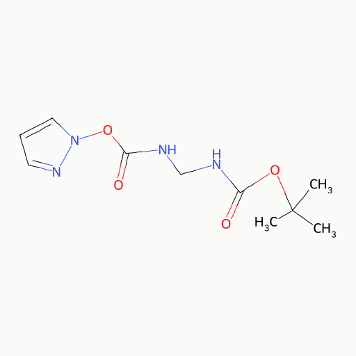 CC(C)(C)OC(=O)NCNC(=O)On1cccn1